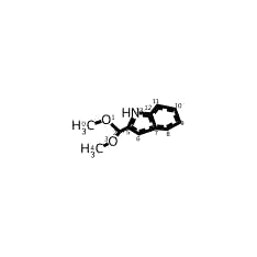 CO[C](OC)c1cc2ccccc2[nH]1